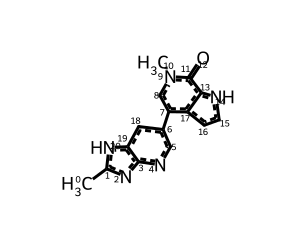 Cc1nc2ncc(-c3cn(C)c(=O)c4[nH]ccc34)cc2[nH]1